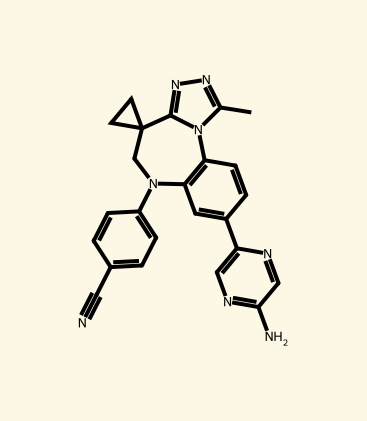 Cc1nnc2n1-c1ccc(-c3cnc(N)cn3)cc1N(c1ccc(C#N)cc1)CC21CC1